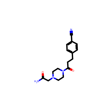 N#Cc1ccc(C[CH]C(=O)N2CCN(CC(N)=O)CC2)cc1